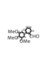 COc1cccc(OC)c1OC.O=Cc1ccccc1